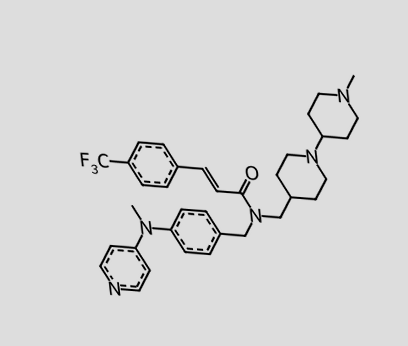 CN1CCC(N2CCC(CN(Cc3ccc(N(C)c4ccncc4)cc3)C(=O)/C=C/c3ccc(C(F)(F)F)cc3)CC2)CC1